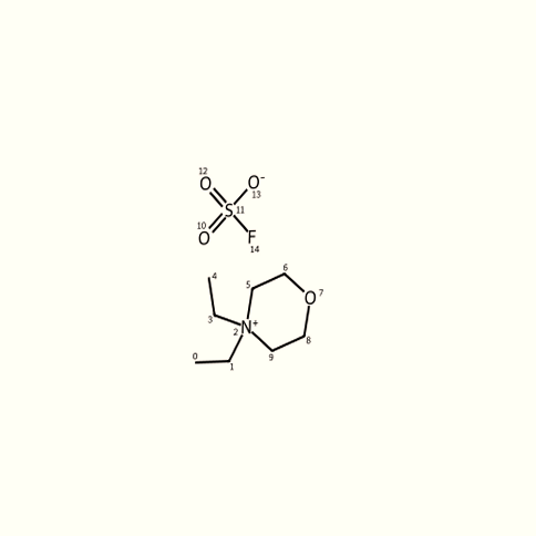 CC[N+]1(CC)CCOCC1.O=S(=O)([O-])F